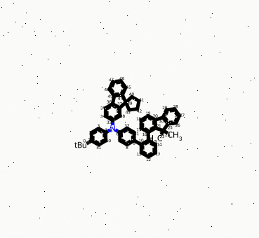 CC(C)(C)c1ccc(N(c2ccc(-c3ccccc3-c3cccc4c3C(C)(C)c3ccccc3-4)cc2)c2ccc3c(c2)C2(CCCC2)c2ccccc2-3)cc1